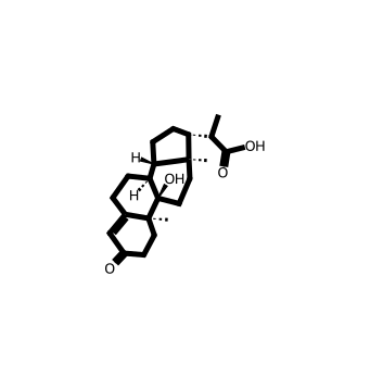 CC(C(=O)O)[C@H]1CC[C@H]2[C@@H]3CCC4=CC(=O)CC[C@]4(C)[C@@]3(O)CC[C@]12C